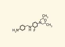 CC1CN(c2ccc(NCc3ccc(N)cc3)c(F)c2)CC(C)O1